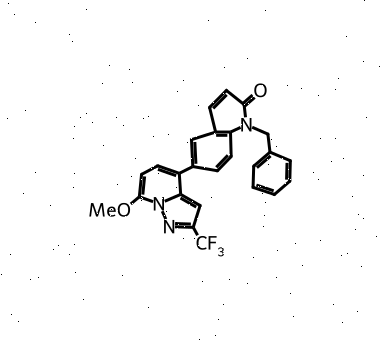 COc1ccc(-c2ccc3c(ccc(=O)n3Cc3ccccc3)c2)c2cc(C(F)(F)F)nn12